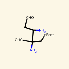 CCCCCCC(N)(C=O)C(N)CC=O